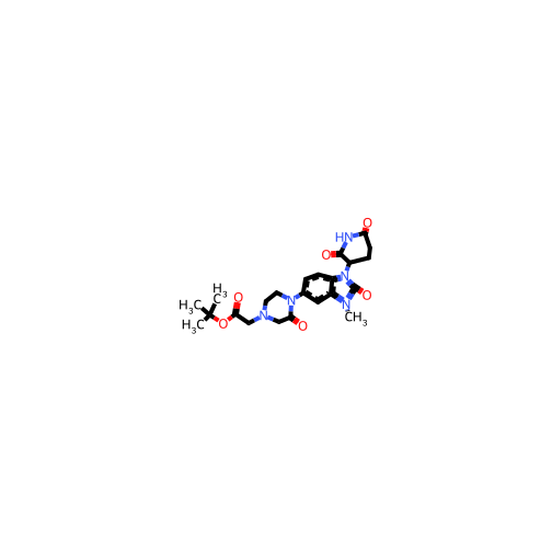 Cn1c(=O)n(C2CCC(=O)NC2=O)c2ccc(N3CCN(CC(=O)OC(C)(C)C)CC3=O)cc21